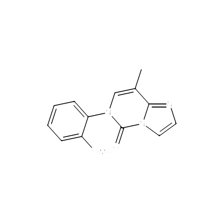 COc1ccccc1-n1cc(C)c2nccn2c1=O